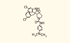 CN(C)c1ccc(NC(=O)N2CCCC(C3(Cc4cccc(Cl)c4)C(=O)Nc4cc(Cl)ccc43)C2)cc1